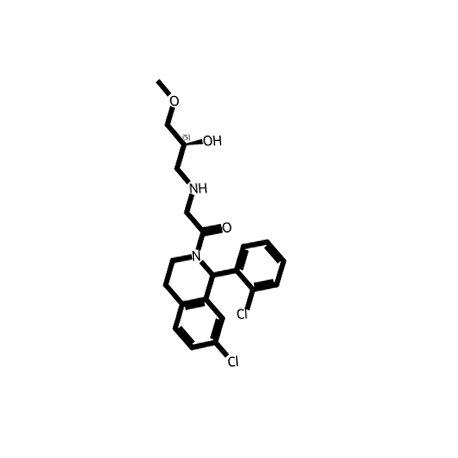 COC[C@@H](O)CNCC(=O)N1CCc2ccc(Cl)cc2C1c1ccccc1Cl